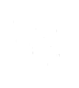 CC(C)OC(C)(C)C(C)(P)C(C)C